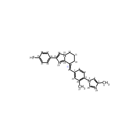 Cc1cn(-c2ccc(/C=C3\CCCn4cc(-c5ccc(F)cc5)nc43)cc2C)cn1